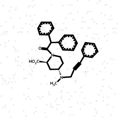 CN(CC#Cc1ccccc1)[C@H]1CCN(C(=O)C(c2ccccc2)c2ccccc2)[C@H](C(=O)O)C1